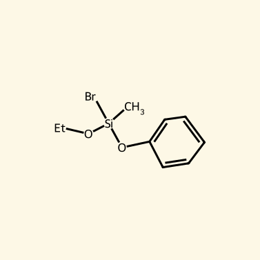 CCO[Si](C)(Br)Oc1ccccc1